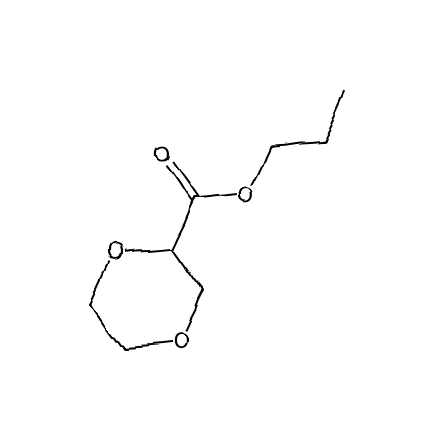 CCCOC(=O)C1COCCO1